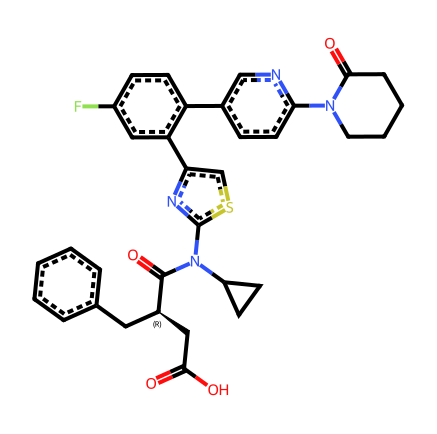 O=C(O)C[C@@H](Cc1ccccc1)C(=O)N(c1nc(-c2cc(F)ccc2-c2ccc(N3CCCCC3=O)nc2)cs1)C1CC1